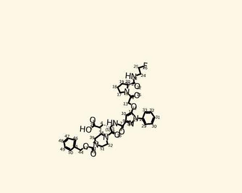 O=C(O)CC[C@H](NC(=O)c1cc(OCC(=O)N2CCC[C@H]2C(=O)NCCF)n(-c2ccccc2)n1)C(=O)N1CCN(C(=O)OCc2ccccc2)CC1